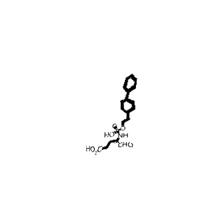 O=C[C@H](CCC(=O)O)NP(=O)(O)OCCc1ccc(-c2ccccc2)cc1